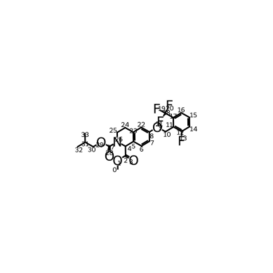 COC(=O)C1c2ccc(OCc3c(F)cccc3C(F)(F)F)cc2CCN1C(=O)OCC(C)C